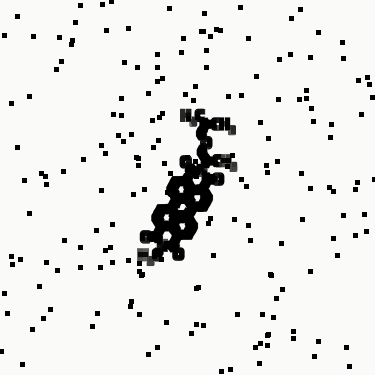 CC(C)COCC(C)N1C(=O)c2ccc3c4ccc5c6c(ccc(c7ccc(c2c37)C1=O)c64)C(=O)N(C)C5=O